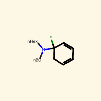 CCCCCCN(CCCC)C1(F)C=CC=CC1